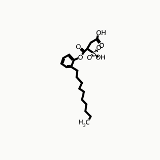 CCCCCCCCCCc1ccccc1OC(=O)C(CC(=O)O)S(=O)(=O)O